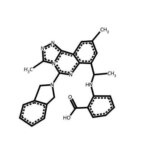 Cc1cc(C(C)Nc2ccccc2C(=O)O)c2nc(N3Cc4ccccc4C3)n3c(C)nnc3c2c1